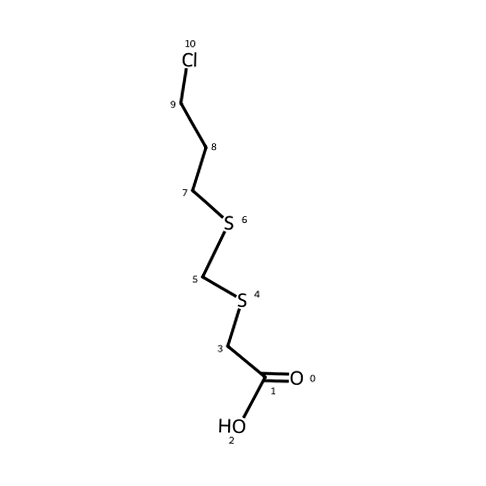 O=C(O)CSCSCCCCl